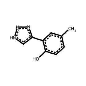 Cc1ccc(O)c(-c2c[nH]nn2)c1